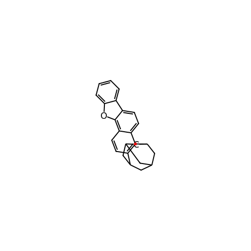 c1ccc2c(c1)oc1c3ccc4c(c3ccc21)C1CC2CC(CC4C2)C1